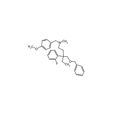 CCC(CCN(C)Cc1ccc(OC)cc1)(COCc1ccccc1)c1ccccc1F